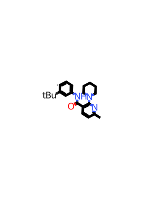 Cc1ccc(C(=O)Nc2cc[c]c(C(C)(C)C)c2)c(N2CCCCC2)n1